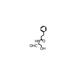 O=C[C@@H](CO)NC(=O)CCc1ccccc1